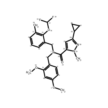 COc1ccc(CN(Cc2cccc(C)c2OC(F)F)C(=O)c2cc(C3CC3)nn2C)c(OC)c1